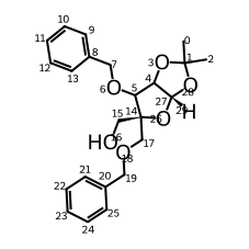 CC1(C)OC2C(OCc3ccccc3)[C@@](CO)(COCc3ccccc3)O[C@H]2O1